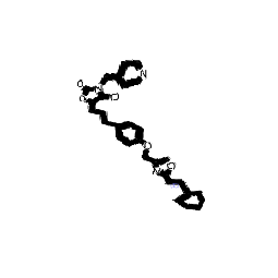 O=C1OC(CCCc2ccc(OCc3coc(/C=C/c4ccccc4)n3)cc2)C(=O)N1Cc1ccncc1